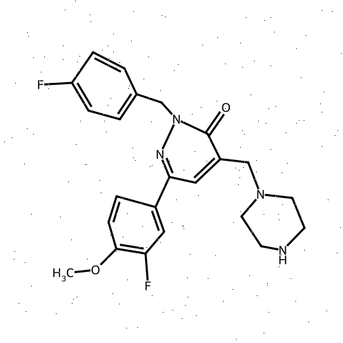 COc1ccc(-c2cc(CN3CCNCC3)c(=O)n(Cc3ccc(F)cc3)n2)cc1F